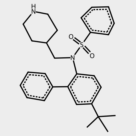 CC(C)(C)c1ccc(N(CC2CCNCC2)S(=O)(=O)c2ccccc2)c(-c2ccccc2)c1